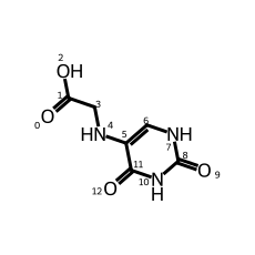 O=C(O)CNc1c[nH]c(=O)[nH]c1=O